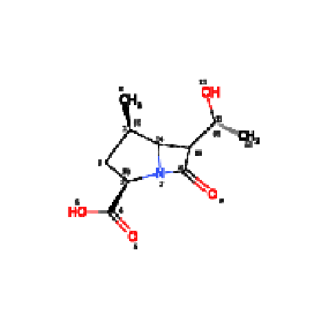 C[C@@H]1C[C@H](C(=O)O)N2C(=O)C([C@@H](C)O)C12